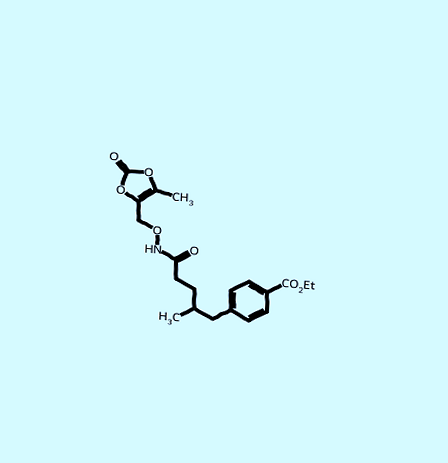 CCOC(=O)c1ccc(CC(C)CCC(=O)NOCc2oc(=O)oc2C)cc1